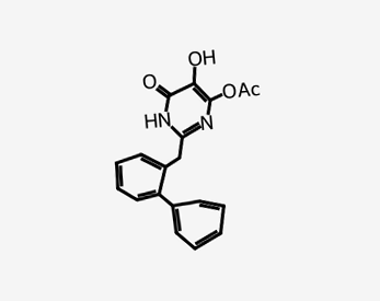 CC(=O)Oc1nc(Cc2ccccc2-c2ccccc2)[nH]c(=O)c1O